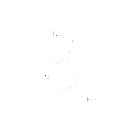 CC(C)c1cnc2cnoc2c1